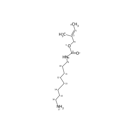 C/C=C(\C)COC(=O)NCCCCCCCCN